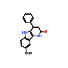 O=Cc1ccc2[nH]c3c(-c4ccccc4)cc(=O)[nH]c3c2c1